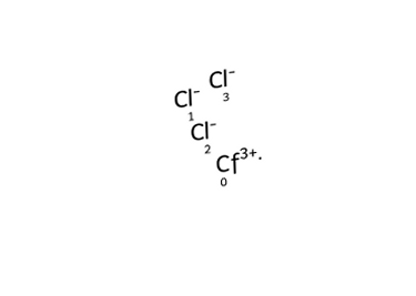 [Cf+3].[Cl-].[Cl-].[Cl-]